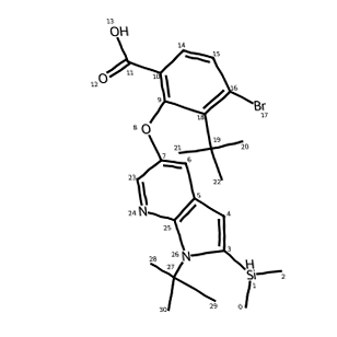 C[SiH](C)c1cc2cc(Oc3c(C(=O)O)ccc(Br)c3C(C)(C)C)cnc2n1C(C)(C)C